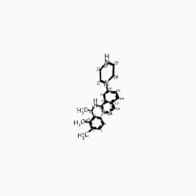 Cc1cccc([C@@H](C)Nc2nncc3ccc(N4CCNCC4)cc23)c1C